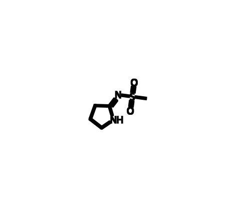 CS(=O)(=O)N=C1CCCN1